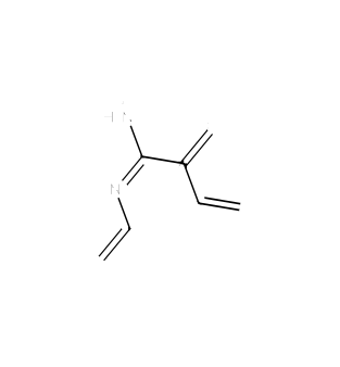 C=C/N=C(/N)C(=C)C=C